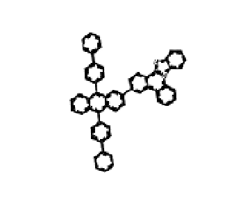 c1ccc(-c2ccc(-c3c4ccccc4c(-c4ccc(-c5ccccc5)cc4)c4cc(-c5ccc6c(c5)c5ccccc5n5c7ccccc7nc65)ccc34)cc2)cc1